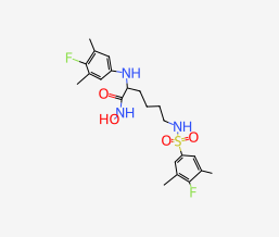 Cc1cc(NC(CCCCNS(=O)(=O)c2cc(C)c(F)c(C)c2)C(=O)NO)cc(C)c1F